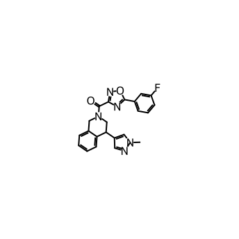 Cn1cc(C2CN(C(=O)c3noc(-c4cccc(F)c4)n3)Cc3ccccc32)cn1